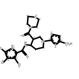 Cc1[nH]c(C(=O)NC2CCN(c3ncc(C(=O)O)s3)CC2C(=O)N2CCOCC2)c(Cl)c1Cl